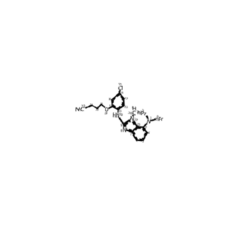 CCCN(CCC)c1cccc2nc(Nc3ccc(Cl)cc3OCCCC#N)n(C)c12